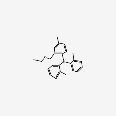 CCOCc1cc(C)cc[c]1[Bi]([c]1ccccc1C)[c]1ccccc1C